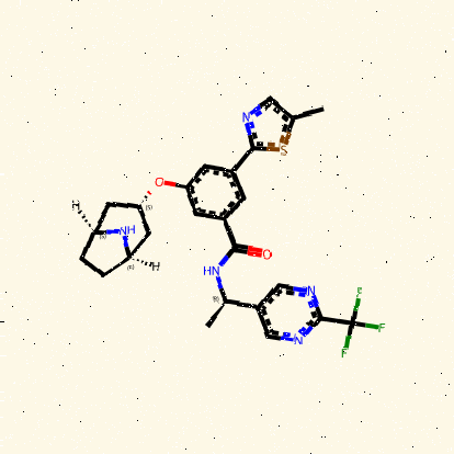 Cc1cnc(-c2cc(O[C@@H]3C[C@H]4CC[C@@H](C3)N4)cc(C(=O)N[C@H](C)c3cnc(C(F)(F)F)nc3)c2)s1